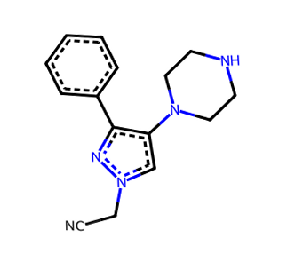 N#CCn1cc(N2CCNCC2)c(-c2ccccc2)n1